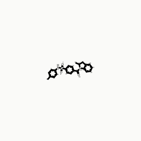 Cc1ccc(NS(=O)(=O)c2ccc(C(=O)N3c4ccccc4CC3C)cc2)cc1